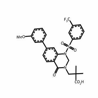 COc1cccc(-c2ccc3c(c2)N(S(=O)(=O)c2cccc(C(F)(F)F)c2)CN(CC(C)(C)C(=O)O)C3=O)c1